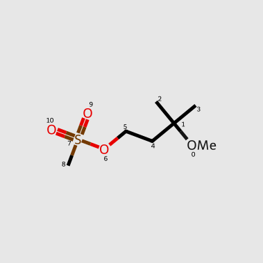 COC(C)(C)CCOS(C)(=O)=O